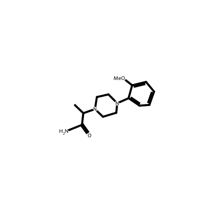 COc1ccccc1N1CCN(C(C)C(N)=O)CC1